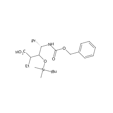 CCC(C(=O)O)C(O[Si](C)(C)C(C)(C)C)[C@@H](NC(=O)OCc1ccccc1)C(C)C